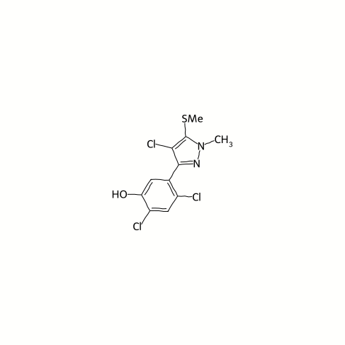 CSc1c(Cl)c(-c2cc(O)c(Cl)cc2Cl)nn1C